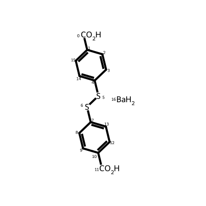 O=C(O)c1ccc(SSc2ccc(C(=O)O)cc2)cc1.[BaH2]